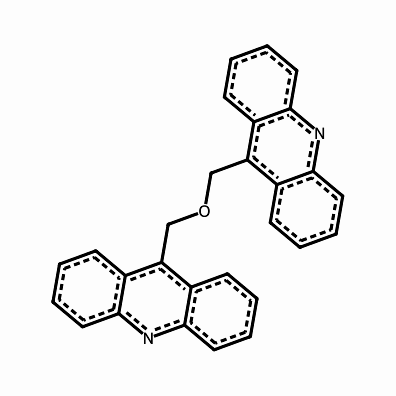 c1ccc2c(COCc3c4ccccc4nc4ccccc34)c3ccccc3nc2c1